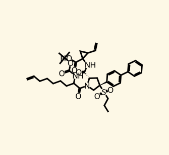 C=CCCCCCC(NC(=O)OC(C)(C)C)C(=O)N1C[C@@](c2ccc(-c3ccccc3)cc2)(S(=O)(=O)CCC)C[C@H]1C(=O)NC1(C(=O)O)CC1C=C